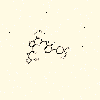 CNc1cc(Nc2cccn(C3CCC(C)(OC)CC3)c2=O)nc2c(C(=O)N[C@H]3CC[C@H]3O)cnn12